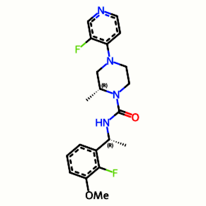 COc1cccc([C@@H](C)NC(=O)N2CCN(c3ccncc3F)C[C@H]2C)c1F